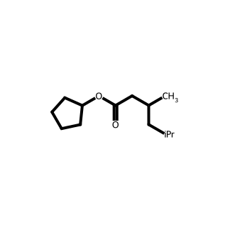 CC(C)CC(C)CC(=O)OC1CCCC1